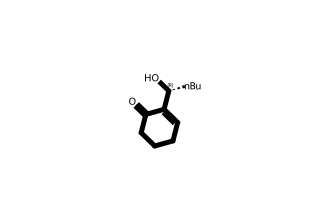 CCCC[C@@H](O)C1=CCCCC1=O